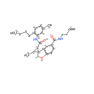 COCCNC(=O)c1ccc2c(c1)C1(CO2)C(C)C1C(=O)Nc1cc(C#N)ccc1CCCC(=O)O